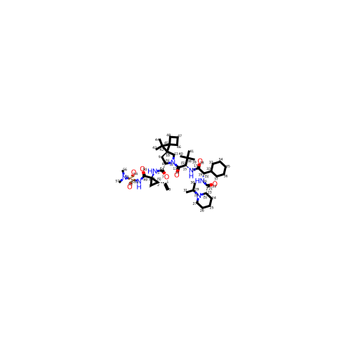 C=C[C@@H]1C[C@]1(NC(=O)[C@@H]1C[C@@]2(CN1C(=O)[C@@H](NC(=O)[C@@H](NC(=O)[C@@H]1CCCCN1C(C)C)C1CCCCC1)C(C)(C)C)C(C)(C)C21CCC1)C(=O)NS(=O)(=O)N(C)C